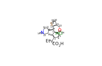 CCC(C(=O)O)c1ccc2c(c1)C(=C1CCN(C)CC1)c1sccc1CO2.Cl